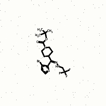 CC(C)(C)OC(=O)N1CCC(C(=NNCC(F)(F)F)c2sccc2Br)CC1